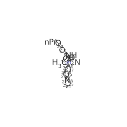 CCCOCCOCCNS(=O)(=O)/C(C#N)=C(\C)c1ccc2cc(N3CCCCC3)ccc2c1